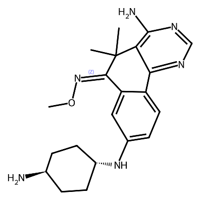 CO/N=C1\c2cc(N[C@H]3CC[C@H](N)CC3)ccc2-c2ncnc(N)c2C1(C)C